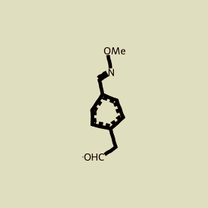 CON=Cc1ccc(C[C]=O)cc1